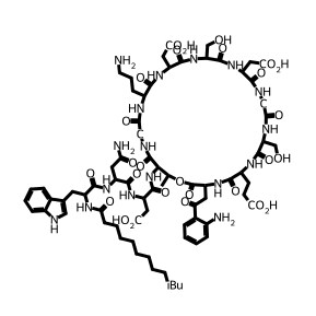 CCC(C)CCCCCCCCC(=O)NC(Cc1c[nH]c2ccccc12)C(=O)NC(CC(N)=O)C(=O)NC(CC(=O)O)C(=O)NC1C(=O)NCC(=O)NC(CCCN)C(=O)NC(CC(=O)O)C(=O)NC(CO)C(=O)NC(CC(=O)O)C(=O)NCC(=O)NC(CO)C(=O)NC(CCC(=O)O)C(=O)NC(CC(=O)c2ccccc2N)C(=O)OC1C